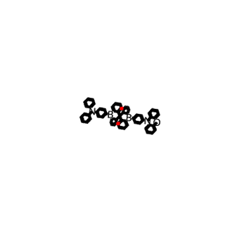 C1=CC2B(c3ccc(N(c4ccccc4)c4ccccc4)cc3)c3ccccc3C3(c4ccccc4B(c4ccc(N5c6ccccc6Oc6ccccc65)cc4)C4C=CC=CC43)C2C=C1